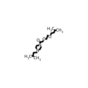 CC(C)CCOCCOCC(=O)N1CCN(CCC(C)C)CC1